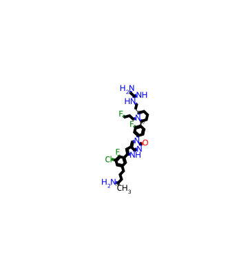 C[C@H](N)CCCc1cc(Cl)c(F)c(-c2cc3cn(-c4ccc([C@@H]5CCC[C@@H](CCNC(=N)CN)N5CCCF)c(F)c4)c(=O)nc3[nH]2)c1